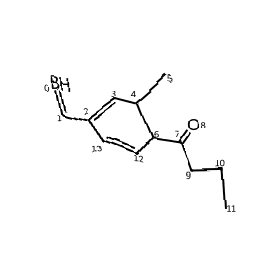 B=CC1=CC(C)C(C(=O)CCC)C=C1